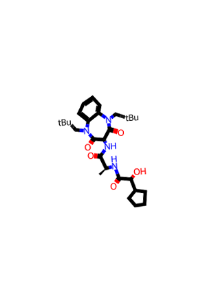 C[C@H](NC(=O)C(O)C1CCCC1)C(=O)NC1C(=O)N(CC(C)(C)C)c2ccccc2N(CC(C)(C)C)C1=O